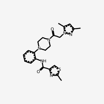 Cc1cc(C)n(CC(=O)N2CCN(c3ccccc3NC(=O)c3csc(C)n3)CC2)n1